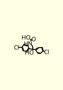 O=C(O)NCC(O)(c1ccc(Cl)cc1)c1ccc(Cl)cc1